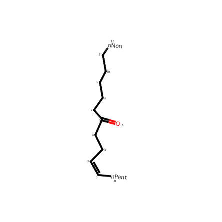 CCCCC/C=C\CCC(=O)CCCCCCCCCCCCCC